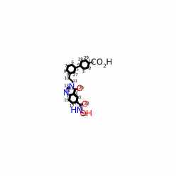 O=C(O)c1ccc(-c2cccc(CCn3cnc4ccc(C(=O)NO)cc4c3=O)c2)cc1